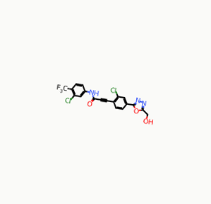 O=C(C#Cc1ccc(-c2nnc(CO)o2)cc1Cl)Nc1ccc(C(F)(F)F)c(Cl)c1